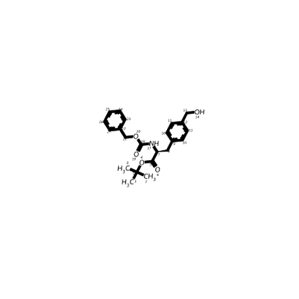 CC(C)(C)OC(=O)[C@H](Cc1ccc(CO)cc1)NC(=O)OCc1ccccc1